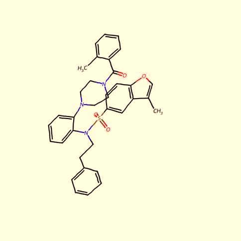 Cc1ccccc1C(=O)N1CCN(c2ccccc2N(CCc2ccccc2)S(=O)(=O)c2ccc3occ(C)c3c2)CC1